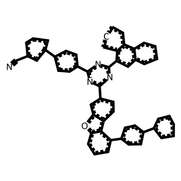 N#Cc1cccc(-c2ccc(-c3nc(-c4ccc5c(c4)oc4cccc(-c6ccc(-c7ccccc7)cc6)c45)nc(-c4cc5ccccc5c5ccccc45)n3)cc2)c1